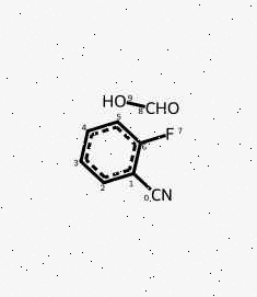 N#Cc1ccccc1F.O=CO